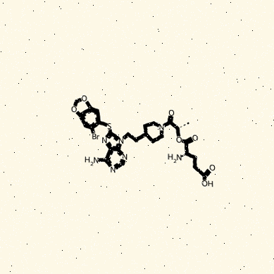 C[C@H](OC(=O)[C@@H](N)CCC(=O)O)C(=O)N1CCC(CCn2c(Sc3cc4c(cc3Br)OCO4)nc3c(N)ncnc32)CC1